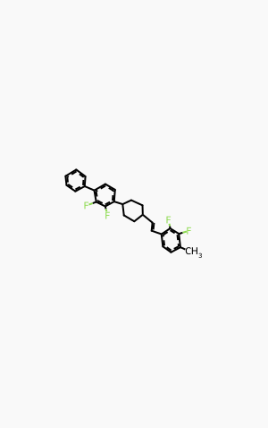 Cc1ccc(/C=C/C2CCC(c3ccc(-c4ccccc4)c(F)c3F)CC2)c(F)c1F